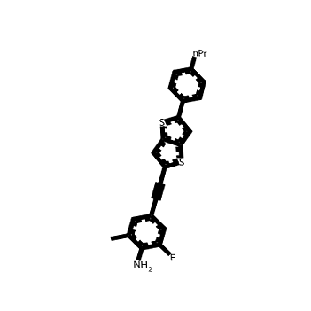 CCCc1ccc(-c2cc3sc(C#Cc4cc(C)c(N)c(F)c4)cc3s2)cc1